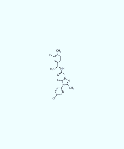 Cc1ccc([C@H](C)NC(=O)Cn2nc(C)n(-c3ccc(Cl)cn3)c2=O)cc1F